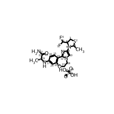 CC1SCC(C(F)F)N1c1cn2c(n1)-c1ccc(N[C@@H](C)C(N)=O)cc1OCC2.O=S(=O)(O)O